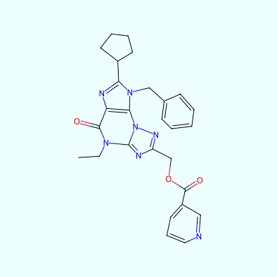 CCn1c(=O)c2nc(C3CCCC3)n(Cc3ccccc3)c2n2nc(COC(=O)c3cccnc3)nc12